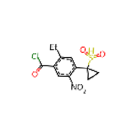 CCc1cc(C2([SH](=O)=O)CC2)c([N+](=O)[O-])cc1C(=O)Cl